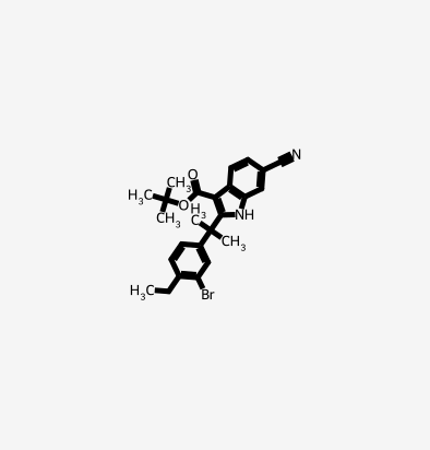 CCc1ccc(C(C)(C)c2[nH]c3cc(C#N)ccc3c2C(=O)OC(C)(C)C)cc1Br